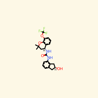 CC1(C)C[C@@H](NC(=O)Nc2cccc3c2C[C@@H](O)C3)c2cccc(OC(F)(F)F)c2O1